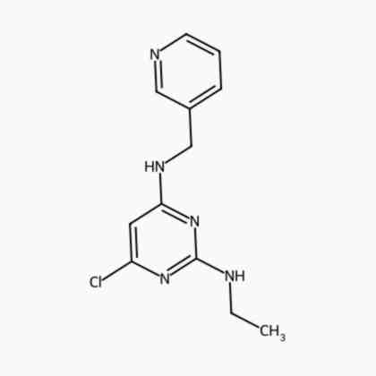 CCNc1nc(Cl)cc(NCc2cccnc2)n1